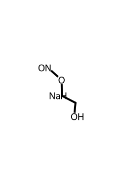 O=NOCCO.[NaH]